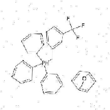 FC(F)(F)c1cccc(C[PH](c2ccccc2)(c2ccccc2)c2ccccc2)c1.c1cc2ccc1CO2